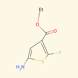 CCOC(=O)c1cc(N)sc1F